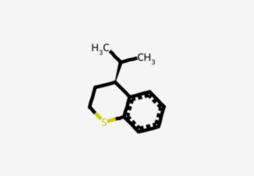 CC(C)[C@@H]1CCSc2ccccc21